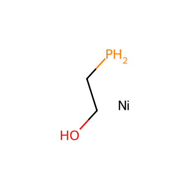 OCCP.[Ni]